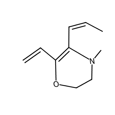 C=CC1=C(/C=C\C)N(C)CCO1